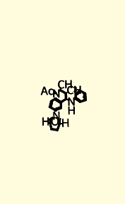 CC(=O)N1c2ccc(N3C[C@H]4CC[C@@H](C3)O4)cc2[C@H](Nc2ccccc2)[C@@H](C)[C@@H]1C